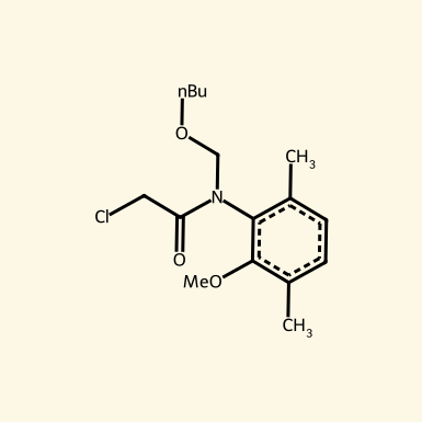 CCCCOCN(C(=O)CCl)c1c(C)ccc(C)c1OC